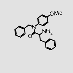 COc1ccc(N(Cc2ccccc2)C(=O)C(N)Cc2ccccc2)cc1